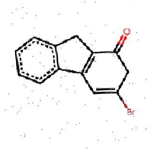 O=C1CC(Br)=CC2=C1Cc1ccccc12